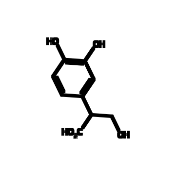 O=C(O)C(CO)c1ccc(O)c(O)c1